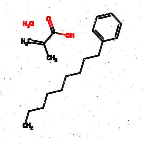 C=C(C)C(=O)O.CCCCCCCCCc1ccccc1.O